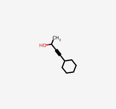 CC(O)C#CC1CCCCC1